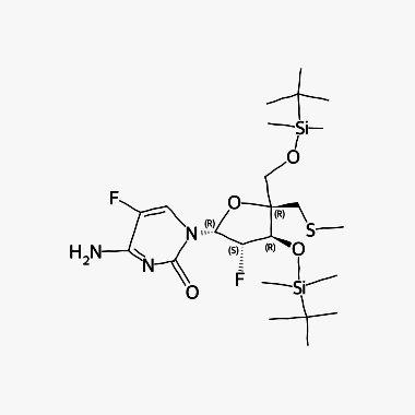 CSC[C@]1(CO[Si](C)(C)C(C)(C)C)O[C@@H](n2cc(F)c(N)nc2=O)[C@@H](F)[C@@H]1O[Si](C)(C)C(C)(C)C